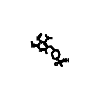 C=Nn1c(N(C)C)c(CC2CCN(S(C)(=N)=O)CC2)c(C)n/c1=N/C